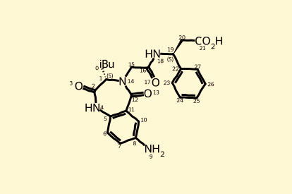 CCC(C)[C@H]1C(=O)Nc2ccc(N)cc2C(=O)N1CC(=O)N[C@@H](CC(=O)O)c1ccccc1